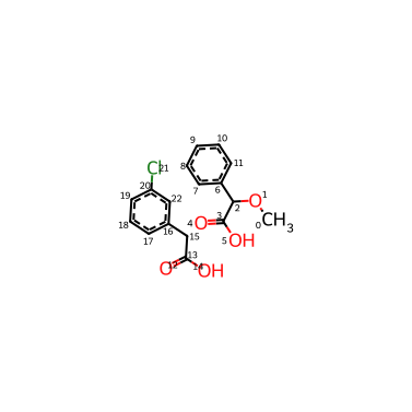 COC(C(=O)O)c1ccccc1.O=C(O)Cc1cccc(Cl)c1